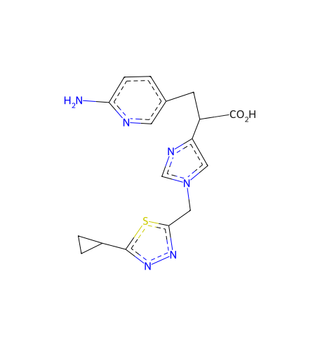 Nc1ccc(CC(C(=O)O)c2cn(Cc3nnc(C4CC4)s3)cn2)cn1